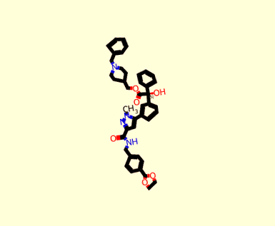 Cn1nc(C(=O)NCc2ccc(C3OCCO3)cc2)cc1-c1cccc([C@](O)(C(=O)OCC2CCN(Cc3ccccc3)CC2)c2ccccc2)c1